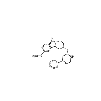 CCCCSc1ccc2[nH]c3c(c2c1)CC(CC1CC(c2ccccc2)=CCN1)CC3